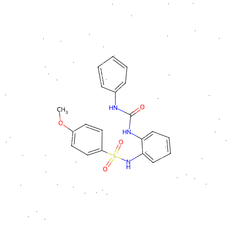 COc1ccc(S(=O)(=O)Nc2ccccc2NC(=O)Nc2ccccc2)cc1